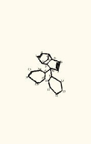 C1=CC2CC1C1C=CC(C3CCCCC3)(C3CCCCC3)C21